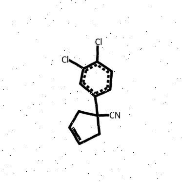 N#CC1(c2ccc(Cl)c(Cl)c2)CC=CC1